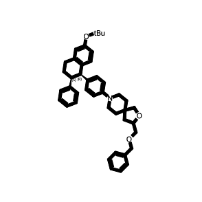 CC(C)(C)Oc1ccc2c(c1)CC[C@H](c1ccccc1)[C@@H]2c1ccc(N2CCC3(CC2)COC(COCc2ccccc2)C3)cc1